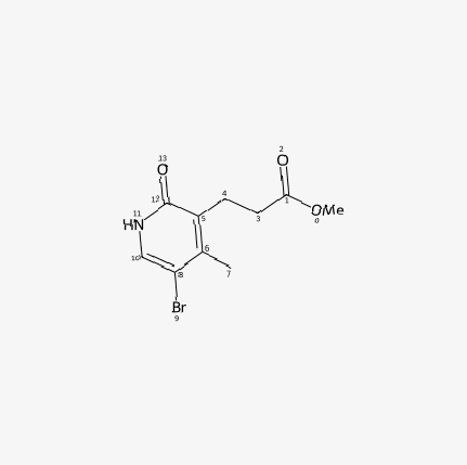 COC(=O)CCc1c(C)c(Br)c[nH]c1=O